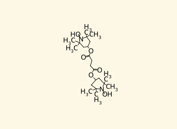 CC1(C)CC(OC(=O)CCC(=O)OC2CC(C)(C)N(O)C(C)(C)C2)CC(C)(C)N1O